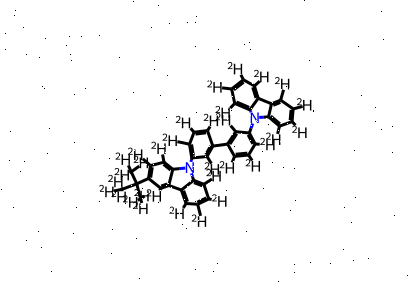 [2H]c1c([2H])c(-c2c([2H])c([2H])c([2H])c(-n3c4c([2H])c([2H])c([2H])c([2H])c4c4c([2H])c(C(C([2H])([2H])[2H])(C([2H])([2H])[2H])C([2H])([2H])[2H])c([2H])c([2H])c43)c2[2H])c([2H])c(-n2c3c([2H])c([2H])c([2H])c([2H])c3c3c([2H])c([2H])c([2H])c([2H])c32)c1[2H]